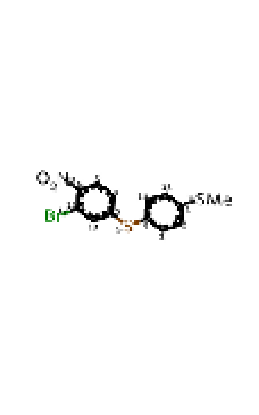 CSc1ccc(Sc2ccc([N+](=O)[O-])c(Br)c2)cc1